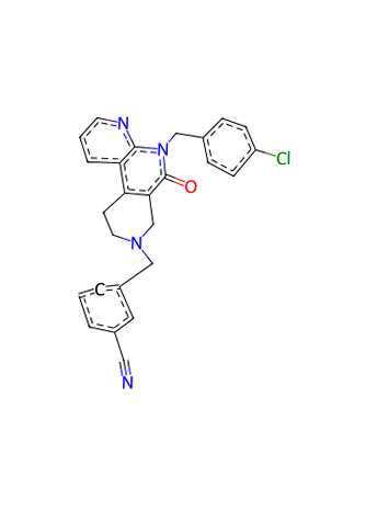 N#Cc1cccc(CN2CCc3c(c(=O)n(Cc4ccc(Cl)cc4)c4ncccc34)C2)c1